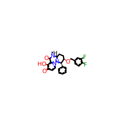 CN1C(=O)c2c(O)c(=O)ccn2N2[C@H](c3ccccc3)[C@H](OCc3ccc(F)c(F)c3)CC[C@@H]12